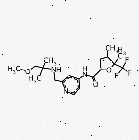 COCC(C)(C)NCc1cc(NC(=O)C2CC(C)C(C)(C(F)(F)F)O2)ccn1